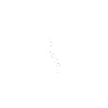 Cc1c(C(=O)Nc2ccc(-c3nc(-c4cccc(CN5CCCCC5)c4)cnc3N)cc2)c(=O)n(-c2ccccc2)n1C